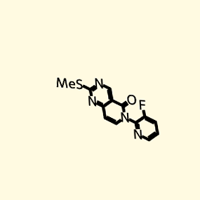 CSc1ncc2c(=O)n(-c3ncccc3F)ccc2n1